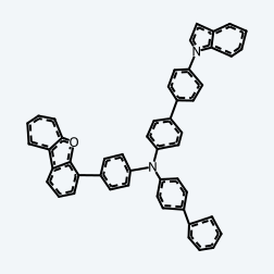 c1ccc(-c2ccc(N(c3ccc(-c4ccc(-n5ccc6ccccc65)cc4)cc3)c3ccc(-c4cccc5c4oc4ccccc45)cc3)cc2)cc1